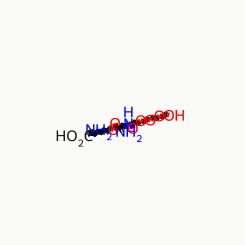 N[C@@H](CCCCCCOC(=O)[C@@H](N)CCNC(=O)CCOCCOCCOCCO)C(=O)O